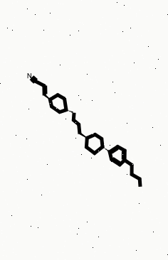 CCCCc1ccc([C@H]2CC[C@H](CCCC[C@H]3CC[C@H](/C=C/C#N)CC3)CC2)cc1